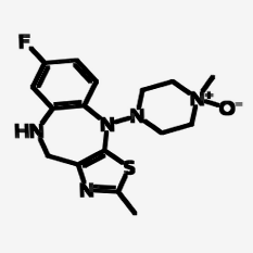 Cc1nc2c(s1)N(N1CC[N+](C)([O-])CC1)c1ccc(F)cc1NC2